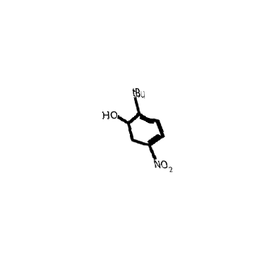 CC(C)(C)C1=CC=C([N+](=O)[O-])CC1O